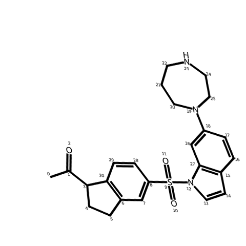 CC(=O)C1CCc2cc(S(=O)(=O)n3ccc4ccc(N5CCCNCC5)cc43)ccc21